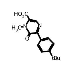 Cn1c(C(=O)O)cnc(-c2ccc(C(C)(C)C)cc2)c1=O